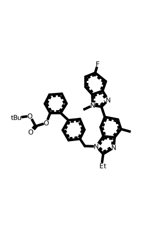 CCc1nc2c(C)cc(-c3nc4cc(F)ccc4n3C)cc2n1Cc1ccc(-c2ccccc2OC(=O)OC(C)(C)C)cc1